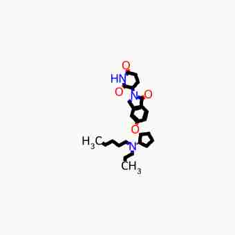 CCCCCN(CCC)[C@H]1CCC[C@@H]1Oc1ccc2c(c1)CN(C1CCC(=O)NC1=O)C2=O